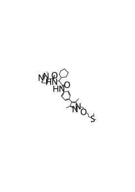 Cc1nn(COCCS(C)(C)C)c(C)c1-c1ccc(NC(=O)C(NC(=O)c2ccnn2C)C2CCCCC2)cc1